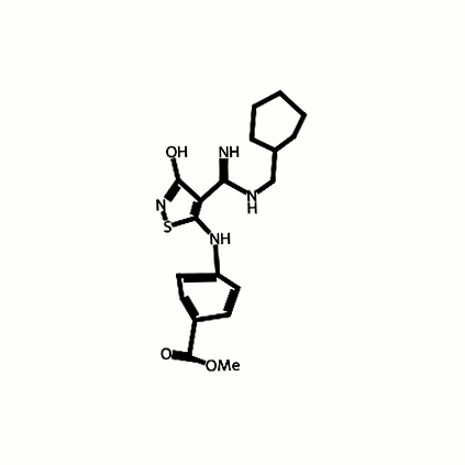 COC(=O)c1ccc(Nc2snc(O)c2C(=N)NCC2CCCCC2)cc1